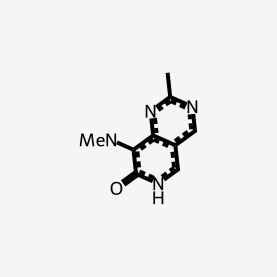 CNc1c(=O)[nH]cc2cnc(C)nc12